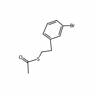 CC(=O)SCCc1cccc(Br)c1